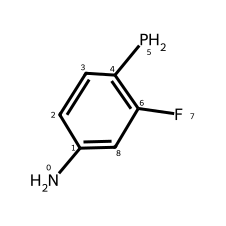 Nc1ccc(P)c(F)c1